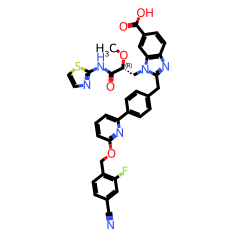 CO[C@H](Cn1c(Cc2ccc(-c3cccc(OCc4ccc(C#N)cc4F)n3)cc2)nc2ccc(C(=O)O)cc21)C(=O)Nc1nccs1